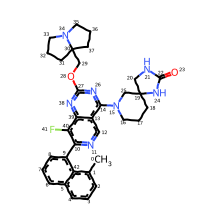 Cc1cccc2cccc(-c3ncc4c(N5CCCC6(CNC(=O)N6)C5)nc(OCC56CCCN5CCC6)nc4c3F)c12